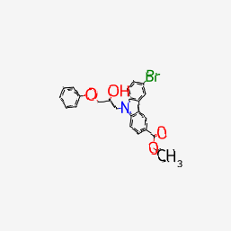 COC(=O)c1ccc2c(c1)c1cc(Br)ccc1n2CC(O)COc1ccccc1